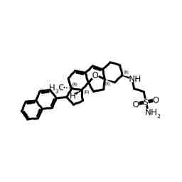 C[C@]12CC=C3C=C4CC[C@@H](NCCS(N)(=O)=O)C[C@]45CCC3(O5)[C@@H]1CCC2c1ccc2ccccc2c1